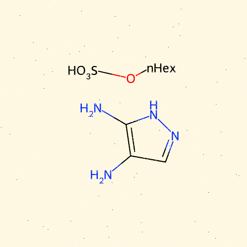 CCCCCCOS(=O)(=O)O.Nc1cn[nH]c1N